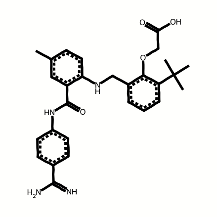 Cc1ccc(NCc2cccc(C(C)(C)C)c2OCC(=O)O)c(C(=O)Nc2ccc(C(=N)N)cc2)c1